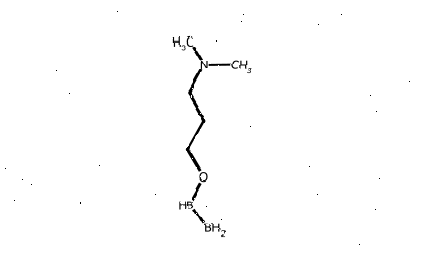 BBOCCCN(C)C